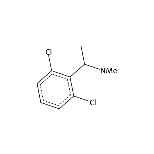 CNC(C)c1c(Cl)cccc1Cl